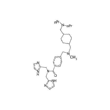 CCCN(CCC)CC1CCC(CN(C)Cc2ccc(C(=O)N(Cc3ncc[nH]3)Cc3ncc[nH]3)cc2)CC1